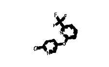 FC(F)(F)c1[c]ccc(Oc2ccc(Cl)nc2)n1